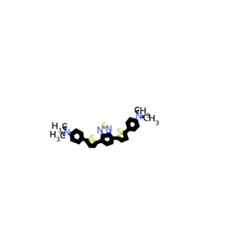 CN(C)c1ccc(-c2ccc(-c3ccc(-c4ccc(-c5ccc(N(C)C)cc5)s4)c4nsnc34)s2)cc1